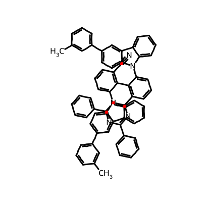 Cc1cccc(-c2ccc3c(c2)c2ccccc2n3-c2cccc(C#N)c2-c2c(-c3nc(-c4ccccc4)nc(-c4ccccc4)n3)cccc2-n2c3ccccc3c3cc(-c4cccc(C)c4)ccc32)c1